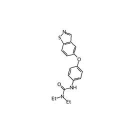 CCN(CC)C(=O)Nc1ccc(Oc2ccc3sncc3c2)cc1